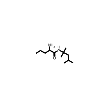 CCCC(N)C(=O)NC(C)(C)CC(C)C